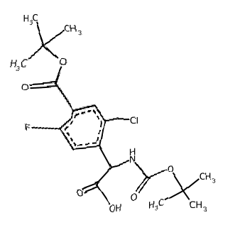 CC(C)(C)OC(=O)NC(C(=O)O)c1cc(F)c(C(=O)OC(C)(C)C)cc1Cl